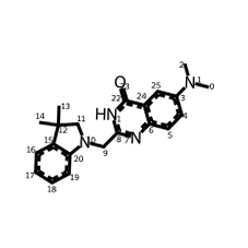 CN(C)c1ccc2nc(CN3CC(C)(C)c4ccccc43)[nH]c(=O)c2c1